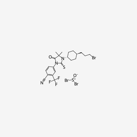 CC1(C)C(=O)N(c2ccc(C#N)c(C(F)(F)F)c2)C(=S)N1[C@H]1CC[C@H](CCCBr)CC1.[O-][S+](Br)Br